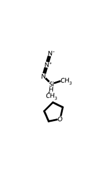 C1CCOC1.C[SiH](C)N=[N+]=[N-]